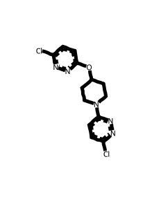 Clc1ccc(OC2CCN(c3ccc(Cl)nn3)CC2)nn1